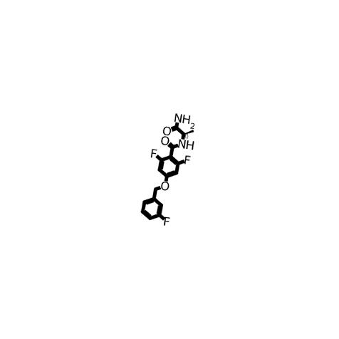 C[C@@H](NC(=O)c1c(F)cc(OCc2cccc(F)c2)cc1F)C(N)=O